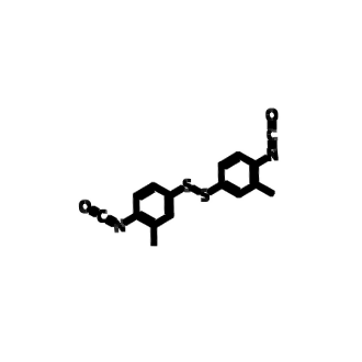 Cc1cc(SSc2ccc(N=C=O)c(C)c2)ccc1N=C=O